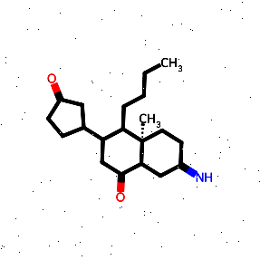 CCCCC1C(C2CCC(=O)C2)CC(=O)C2CC(=N)CC[C@@]21C